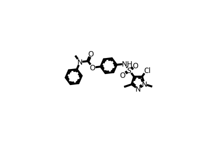 Cc1nn(C)c(Cl)c1S(=O)(=O)Nc1ccc(OC(=O)N(C)c2ccccc2)cc1